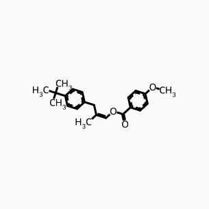 COc1ccc(C(=O)OC=C(C)Cc2ccc(C(C)(C)C)cc2)cc1